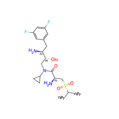 CCCC(CCC)S(=O)(=O)C[C@@H](N)C(=O)N(C[C@@H](O)[C@@H](N)Cc1cc(F)cc(F)c1)C1CC1